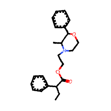 CCC(C(=O)OCCN1CCOC(c2ccccc2)C1C)c1ccccc1